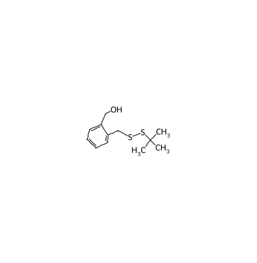 CC(C)(C)SSCc1ccccc1CO